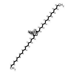 CCCCCCCCCCCCCCCCCC(=O)OC(=O)CCCCCCCCCCCCCCC.[MgH2].[MgH2]